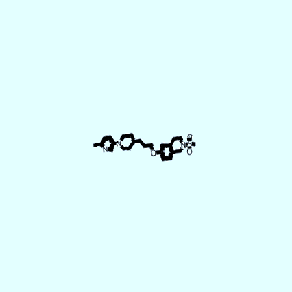 Cc1ccc(N2CCC(CCCOc3ccc4c(c3)CCN(S(C)(=O)=O)C4)CC2)cn1